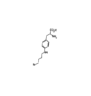 NC(Cc1ccc(NCCCCBr)cc1)C(=O)O